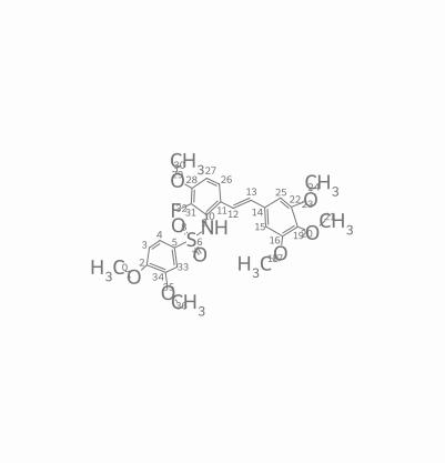 COc1ccc(S(=O)(=O)Nc2c(C=Cc3cc(OC)c(OC)c(OC)c3)ccc(OC)c2F)cc1OC